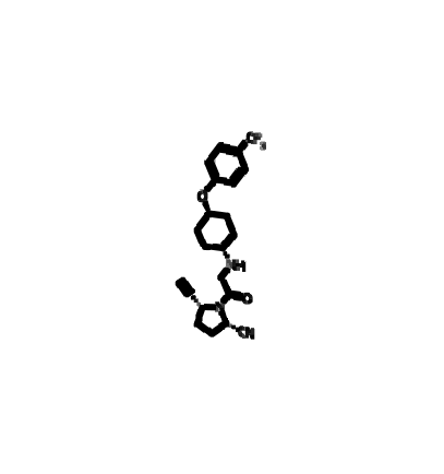 C#C[C@H]1CC[C@@H](C#N)N1C(=O)CN[C@H]1CC[C@H](Oc2ccc(C(F)(F)F)cc2)CC1